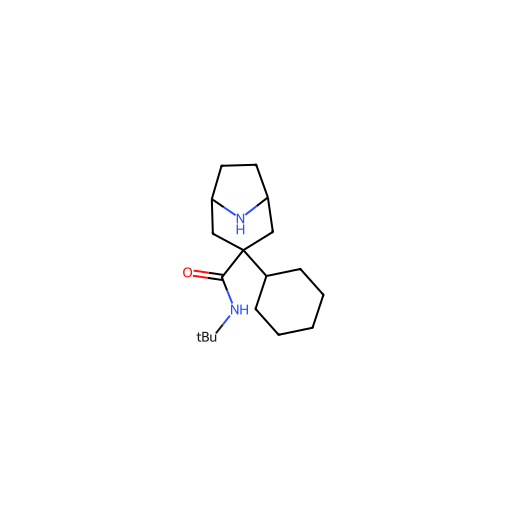 CC(C)(C)NC(=O)C1(C2CCCCC2)CC2CCC(C1)N2